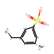 O=S(=O)([O-])c1cccc(CBr)c1.[Na+]